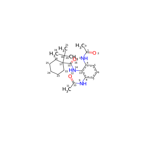 CC(=O)Nc1cccc(NC(C)=O)c1NC(=O)C1(C(C)(C)C)CCCCC1